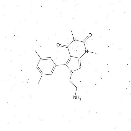 Cc1cc(C)cc(-c2c3c(=O)n(C)c(=O)n(C)c3cn2CCN)c1